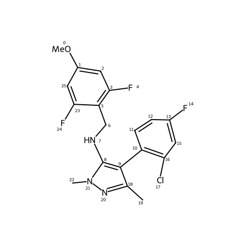 COc1cc(F)c(CNc2c(-c3ccc(F)cc3Cl)c(C)nn2C)c(F)c1